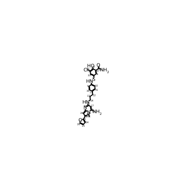 NC(=O)c1cc(SNc2ccc(CCCNc3cc(N)n4nc(-c5ccco5)cc4n3)cc2)cc(Cl)c1O